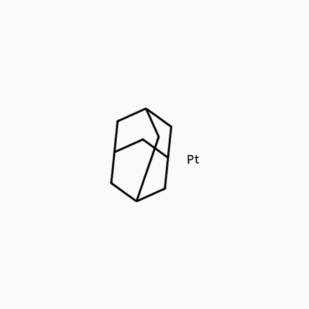 C1C2CC3CC1CC(C2)C3.[Pt]